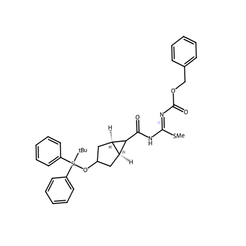 CS/C(=N\C(=O)OCc1ccccc1)NC(=O)C1[C@H]2CC(O[Si](c3ccccc3)(c3ccccc3)C(C)(C)C)C[C@@H]12